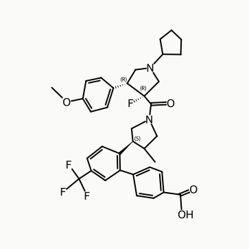 COc1ccc([C@@H]2CN(C3CCCC3)C[C@@]2(F)C(=O)N2CC(C)[C@@H](c3ccc(C(F)(F)F)cc3-c3ccc(C(=O)O)cc3)C2)cc1